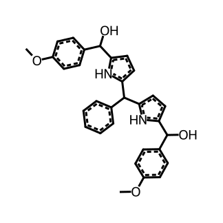 COc1ccc(C(O)c2ccc(C(c3ccccc3)c3ccc(C(O)c4ccc(OC)cc4)[nH]3)[nH]2)cc1